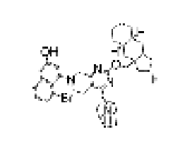 Oc1cc(N2CCc3c(nc(OC[C@]45C[C@@H](F)CC4C[C@H]4CCCC[C@H]4C5)nc3N3CC4CCC(C3)N4)C2)c2c(Br)cccc2c1